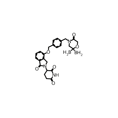 BC1(B)CN(Cc2ccc(COc3cccc4c3CN(C3CCC(=O)NC3=O)C4=O)cc2)C(=O)CO1